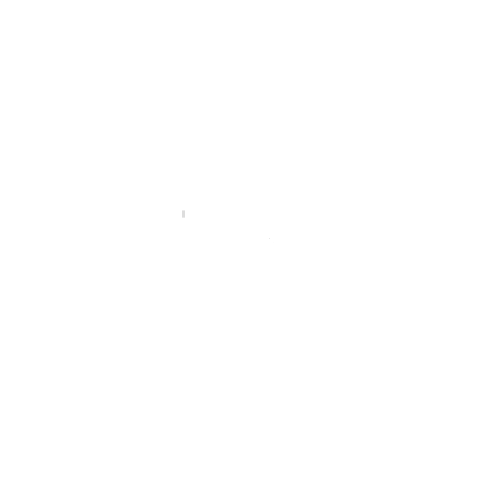 CCCC[S][U]([CH3])([CH3])([CH2]C)[CH2]C.I